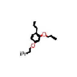 C=CCOc1cc(OCCC(C)C)ccc1CC=C